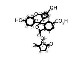 O=C(O)c1ccc2c(c1)C1(OC2=O)c2ccc(O)cc2Oc2cc(O)ccc21.O=C1CCC(=O)N1O